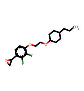 CCCC1CCC(OCCOc2ccc(C3CO3)c(F)c2F)CC1